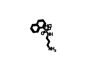 Cl.NCCCNS(=O)(=O)c1cccc2ccccc12